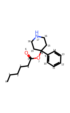 CCCCCC(=O)OC1(c2ccccc2)CCNCC1